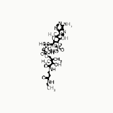 CCNC(=O)CCNC(=O)C(O)C(C)(C)COP(=O)(O)OP(=O)(O)OCC1OC(C)(n2cnc3c(N)ncnc32)C(O)C1OP(=O)(O)O